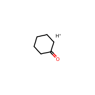 O=C1CCCCC1.[H+]